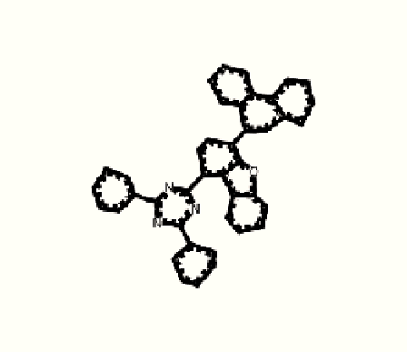 c1ccc(-c2nc(-c3ccccc3)nc(-c3ccc(-c4cc5ccccc5c5ccccc45)c4oc5ccccc5c34)n2)cc1